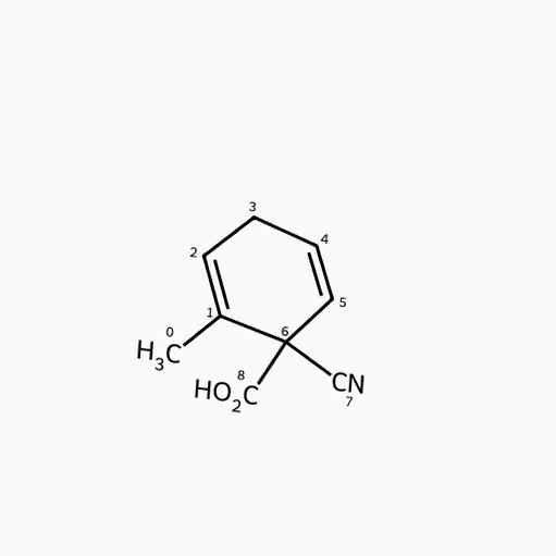 CC1=CCC=CC1(C#N)C(=O)O